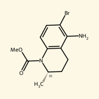 COC(=O)N1c2ccc(Br)c(N)c2CC[C@@H]1C